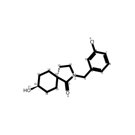 O=C1N(Cc2cccc(Cl)c2)CC[C@]12CC[C@H](O)CC2